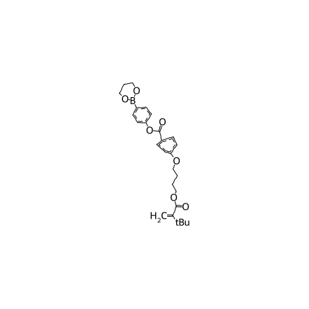 C=C(C(=O)OCCCCOc1ccc(C(=O)Oc2ccc(B3OCCCO3)cc2)cc1)C(C)(C)C